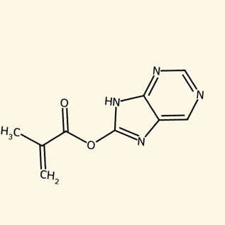 C=C(C)C(=O)Oc1nc2cncnc2[nH]1